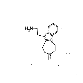 NCCc1c2n(c3ccccc13)CCNCC2